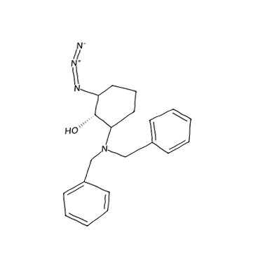 [N-]=[N+]=NC1CCCC(N(Cc2ccccc2)Cc2ccccc2)[C@@H]1O